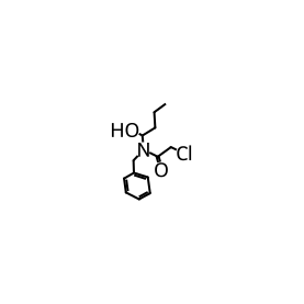 CCCC(O)N(Cc1ccccc1)C(=O)CCl